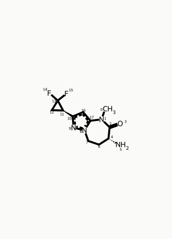 CN1C(=O)[C@H](N)CCn2nc([C@H]3CC3(F)F)cc21